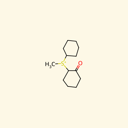 C[S+](C1CCCCC1)C1CCCCC1=O